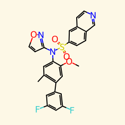 COc1cc(-c2cc(F)cc(F)c2)c(C)cc1N(c1ccon1)S(=O)(=O)c1ccc2cnccc2c1